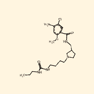 CCCNC(=O)NCCCCN1CCC(CNC(=O)c2cc(Cl)c(N)cc2OC)C1